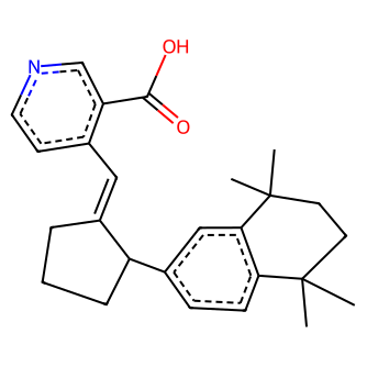 CC1(C)CCC(C)(C)c2cc(C3CCCC3=Cc3ccncc3C(=O)O)ccc21